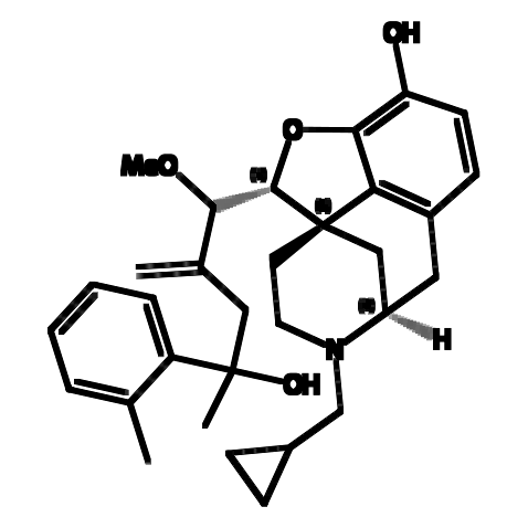 C=C(CC(C)(O)c1ccccc1C)C(OC)[C@@H]1Oc2c(O)ccc3c2[C@@]12CCN(CC1CC1)[C@H](C3)C2